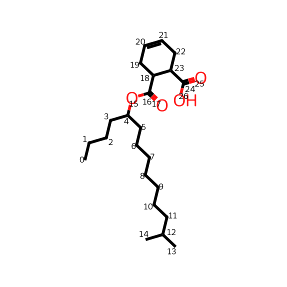 CCCCC(CCCCCCCC(C)C)OC(=O)C1CC=CCC1C(=O)O